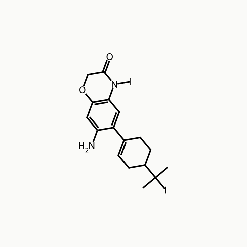 CC(C)(I)C1CC=C(c2cc3c(cc2N)OCC(=O)N3I)CC1